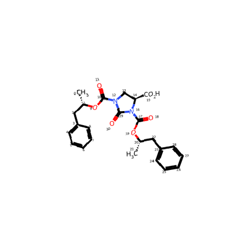 C[C@@H](Cc1ccccc1)OC(=O)N1C[C@@H](C(=O)O)N(C(=O)O[C@@H](C)Cc2ccccc2)C1=O